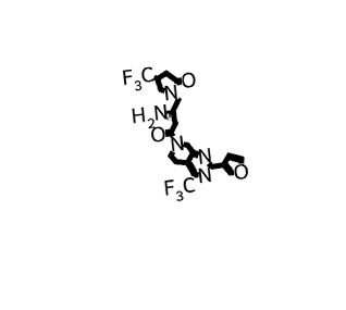 N[C@H](CC(=O)N1CCc2c(nc(-c3ccoc3)nc2C(F)(F)F)C1)CN1CC(C(F)(F)F)CC1=O